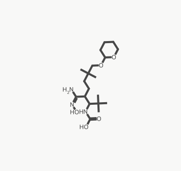 CC(C)(CCC(/C(N)=N\O)C(NC(=O)O)C(C)(C)C)COC1CCCCO1